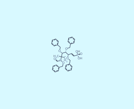 CC(C)([C@@H](OCc1ccccc1)[C@H](OCc1ccccc1)[C@@H](C=CP(=O)(O)O)OCc1ccccc1)N(C=O)OCc1ccccc1